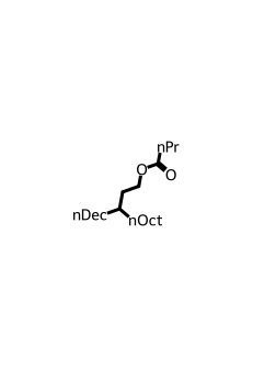 CCCCCCCCCCC(CCCCCCCC)CCOC(=O)CCC